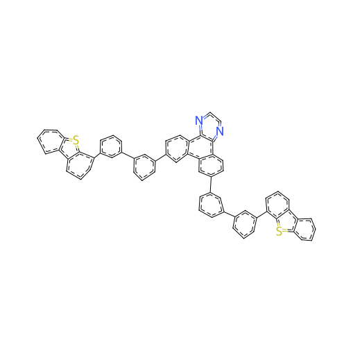 c1cc(-c2cccc(-c3cccc4c3sc3ccccc34)c2)cc(-c2ccc3c(c2)c2cc(-c4cccc(-c5cccc(-c6cccc7c6sc6ccccc67)c5)c4)ccc2c2nccnc32)c1